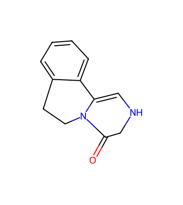 O=C1CNC=C2c3ccccc3CCN12